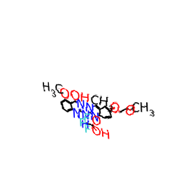 COCCOc1ccc2nc(Nc3nc(O)c4c(OC)cccc4n3)nc(C)c2c1.O=C(O)C(F)(F)F